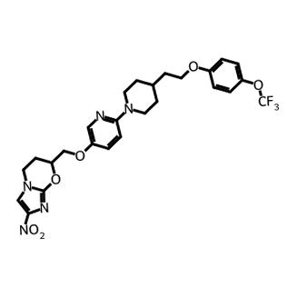 O=[N+]([O-])c1cn2c(n1)OC(COc1ccc(N3CCC(CCOc4ccc(OC(F)(F)F)cc4)CC3)nc1)CC2